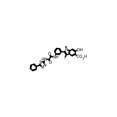 Cn1c(-c2cccc(NC(=O)C(=O)Nc3nnc(-c4ccccc4)s3)c2)c(I)c2cc(C(=O)O)c(O)cc21